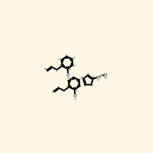 C=CCc1ccccc1[O-].C=CCc1ccccc1[O-].C[CH2][Hf+2][C]1=CC=CC1